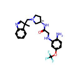 CC1(CN2CC[C@@H](NC(=O)CNc3cc(OC(F)(F)F)ccc3N)C2)C=Nc2ccccc21